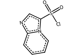 O=S(=O)(Cl)c1cnc2ccccn12